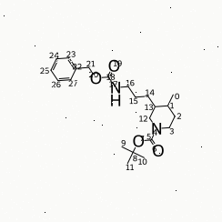 CC1CCN(C(=O)OC(C)(C)C)CC1CCCNC(=O)OCc1ccccc1